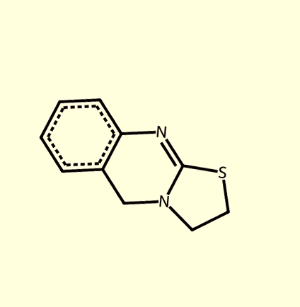 c1ccc2c(c1)CN1CCSC1=N2